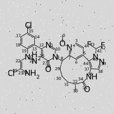 CO[n+]1ccc2cc1C(n1cnc(-c3cc(Cl)ccc3N(N)/C=C(\N)Cl)cc1=O)CCCC(C)C(=O)Nc1cnn(C(F)F)c1-2